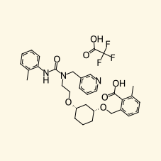 Cc1ccccc1NC(=O)N(CCO[C@H]1CCC[C@@H](OCc2cccc(C)c2C(=O)O)C1)Cc1cccnc1.O=C(O)C(F)(F)F